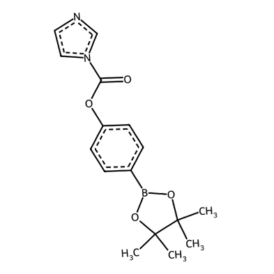 CC1(C)OB(c2ccc(OC(=O)n3ccnc3)cc2)OC1(C)C